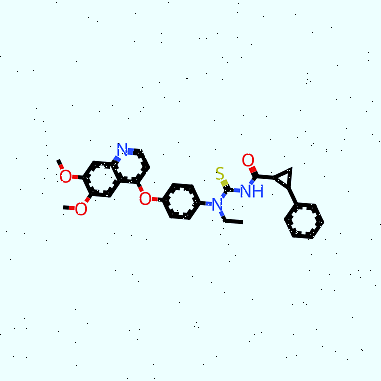 CCN(C(=S)NC(=O)C1CC1c1ccccc1)c1ccc(Oc2ccnc3cc(OC)c(OC)cc23)cc1